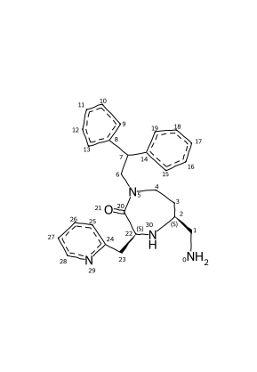 NC[C@@H]1CCN(CC(c2ccccc2)c2ccccc2)C(=O)[C@H](Cc2ccccn2)N1